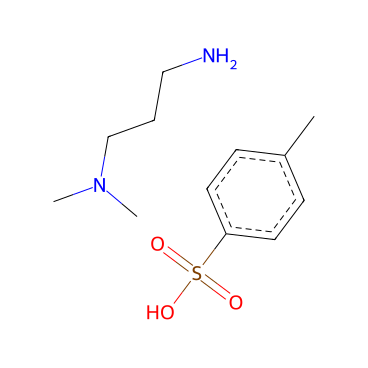 CN(C)CCCN.Cc1ccc(S(=O)(=O)O)cc1